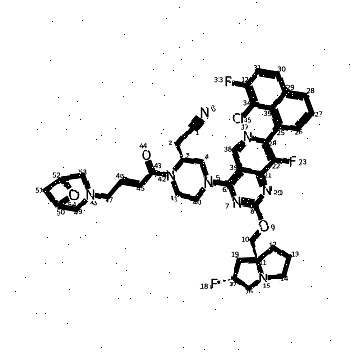 N#CC[C@H]1CN(c2nc(OC[C@@]34CCCN3C[C@H](F)C4)nc3c(F)c(-c4cccc5ccc(F)c(Cl)c45)ncc23)CCN1C(=O)/C=C/CN1CC2CC(C1)O2